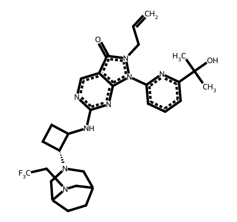 C=CCn1c(=O)c2cnc(NC3CC[C@H]3N3CC4CCC(C3)N(CC(F)(F)F)C4)nc2n1-c1cccc(C(C)(C)O)n1